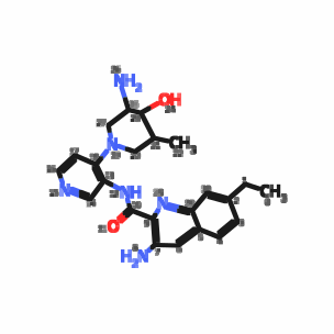 CCc1ccc2cc(N)c(C(=O)Nc3cnccc3N3CC(C)C(O)C(N)C3)nc2c1